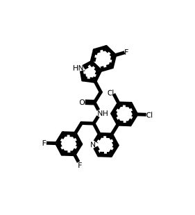 O=C(Cc1c[nH]c2ccc(F)cc12)NC(Cc1cc(F)cc(F)c1)c1ncccc1-c1cc(Cl)cc(Cl)c1